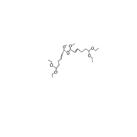 CCOC(CCC=CC(OC)OC(C=CCCC(OCC)OCC)OC)OCC